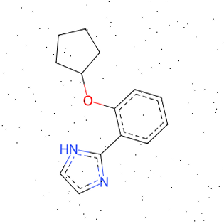 c1ccc(-c2ncc[nH]2)c(OC2CCCC2)c1